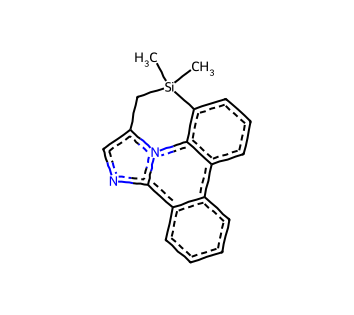 C[Si]1(C)Cc2cnc3c4ccccc4c4cccc1c4n23